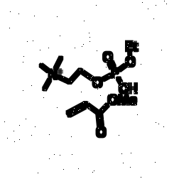 C=CC(=O)OC.CCOP(=O)(O)OCC[N+](C)(C)C